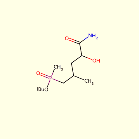 CC(C)COP(C)(=O)CC(C)CC(O)C(N)=O